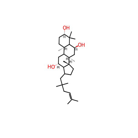 CC(C)=CCC(C)(C)CC1CC[C@]2(C)C1[C@H](O)CC1[C@@]3(C)CC[C@H](O)C(C)(C)C3[C@@H](O)C[C@]12C